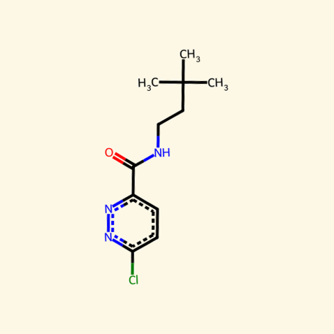 CC(C)(C)CCNC(=O)c1ccc(Cl)nn1